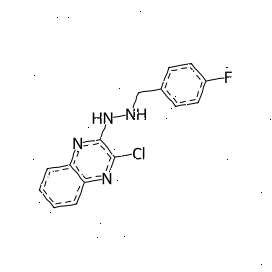 Fc1ccc(CNNc2nc3ccccc3nc2Cl)cc1